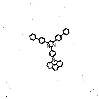 c1ccc(-c2ccc(-c3cc(-c4ccc(-c5ccccc5)cc4)nc(-c4ccc(-n5c6cccc7ccc8cccc5c8c76)cc4)n3)cc2)cc1